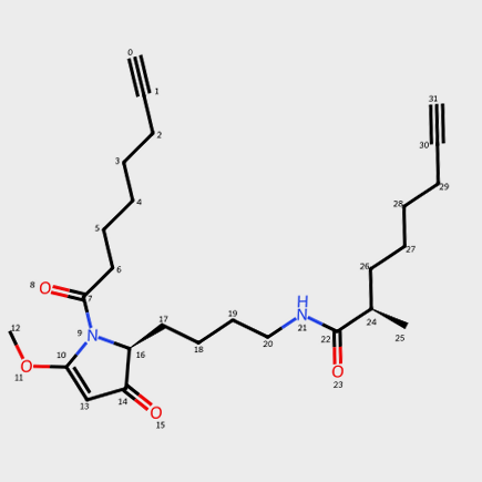 C#CCCCCCC(=O)N1C(OC)=CC(=O)[C@@H]1CCCCNC(=O)[C@H](C)CCCCC#C